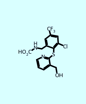 O=C(O)NCc1cc(C(F)(F)F)cc(Cl)c1Sc1ncccc1CO